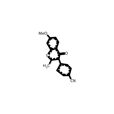 COc1ccc2c(=O)c(-c3ccc(C#N)cc3)c(C)sc2c1